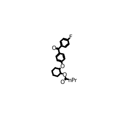 CCCC(=O)OC1CCCCC1Oc1ccc(C(=O)c2ccc(F)cc2)cc1